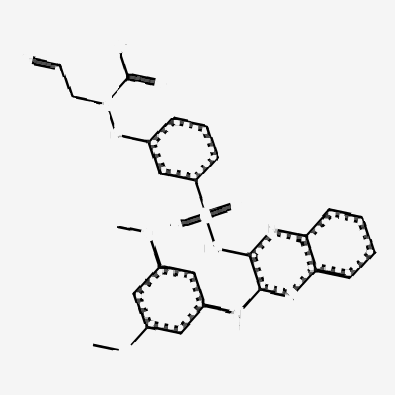 COc1cc(Nc2nc3ccccc3nc2NS(=O)(=O)c2cccc(NN(CC=O)C(=O)O)c2)cc(OC)c1